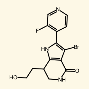 O=C1NCC(CCO)c2[nH]c(-c3ccncc3F)c(Br)c21